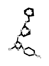 CCc1nc(Oc2ccnc(SCc3ccccc3)n2)nc(N2CCN(C)CC2)n1